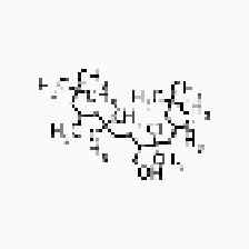 CC(CC(C)(C)C)CC(C)(C)CCC(CO)C(C)(C)CC(C)CC(C)(C)C